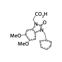 COc1cc2c(cc1OC)n(Cc1ccccc1)c(=O)n2CC(=O)O